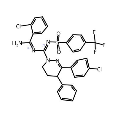 N/C(=N/C(=N/S(=O)(=O)c1ccc(C(F)(F)F)cc1)N1CCC(c2ccccc2)C(c2ccc(Cl)cc2)=N1)c1ccccc1Cl